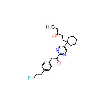 CCC(=O)CCC1(c2cnc(C(=O)Cc3ccc(CCCF)cc3)nc2)CCCCC1